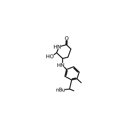 CCCCC(C)c1cc(NC2CCC(=O)NC2O)ccc1C